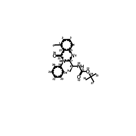 Cc1cccc2nc([C@H](C)NC(=O)OC(C)(C)C)n(-c3ccccc3)c(=O)c12